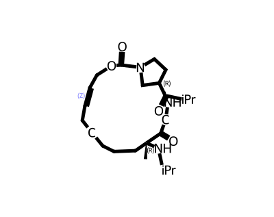 CC(C)N[C@]1(C)CCCCC/C=C\COC(=O)N2CC[C@](C(=O)C(C)C)(C2)NCC1=O